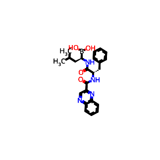 CC(C)C[C@H](NC(=O)[C@H](Cc1ccccc1)NC(=O)c1cnc2ccccc2n1)B(O)O